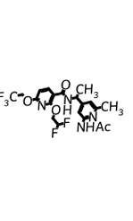 CC(=O)Nc1cc(C(C)NC(=O)c2ccc(OCC(F)(F)F)nc2OCC(F)F)cc(C)n1